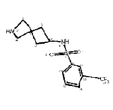 O=S(=O)(NC1CC2(CNC2)C1)c1cccc(C(F)(F)F)c1